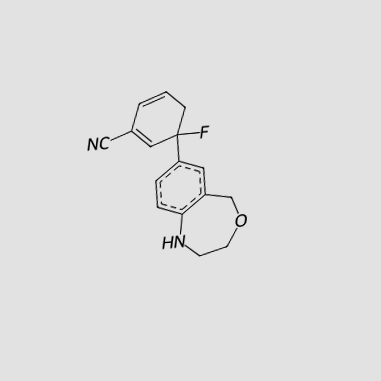 N#CC1=CC(F)(c2ccc3c(c2)COCCN3)CC=C1